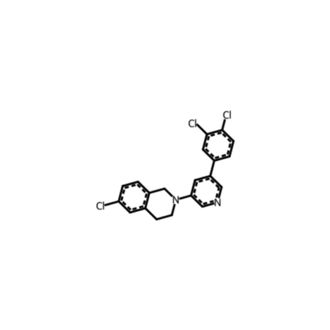 Clc1ccc2c(c1)CCN(c1cncc(-c3ccc(Cl)c(Cl)c3)c1)C2